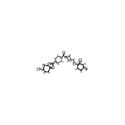 O=C(N1CCN(c2nc3nc(Cl)ccc3o2)CC1)N1CC(COc2ccc(F)cc2Cl)C1